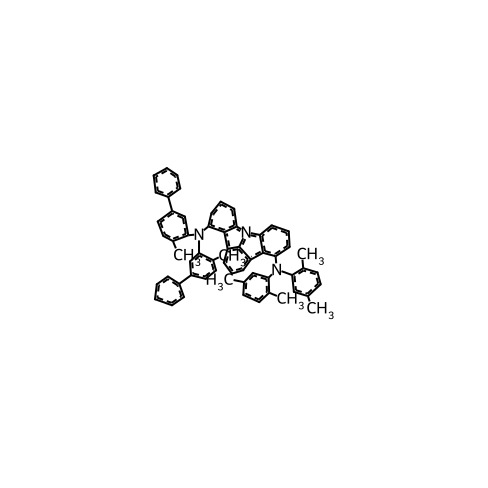 Cc1ccc(C)c(N(c2cc(C)ccc2C)c2cccc3c2c2cccc4c5c(N(c6cc(-c7ccccc7)ccc6C)c6cc(-c7ccccc7)ccc6C)cccc5n3c24)c1